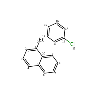 CCc1cccc2ccccc12.Clc1ccccc1